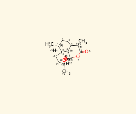 C[C@@H]1CCC2[C@@H](C)C(=O)O[C@@H]3OC4(C)CC[C@@H]1[C@@]23OO4